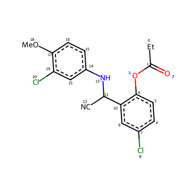 CCC(=O)Oc1ccc(Cl)cc1C(C#N)Nc1ccc(OC)c(Cl)c1